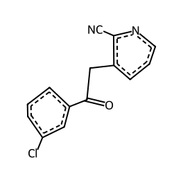 N#Cc1ncccc1CC(=O)c1cccc(Cl)c1